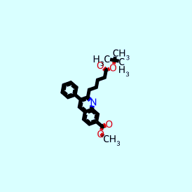 COC(=O)c1ccc2cc(-c3ccccc3)c(CCCCC(=O)OC(C)(C)C)nc2c1